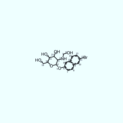 OCNC1C(Oc2ccc3cc(Br)ccc3c2)OC(CO)C(O)C1O